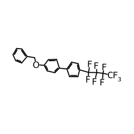 FC(F)(F)C(F)(F)C(F)(F)C(F)(F)c1ccc(-c2ccc(OCc3ccccc3)cc2)cc1